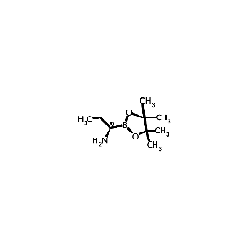 CC[C@H](N)B1OC(C)(C)C(C)(C)O1